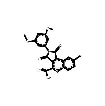 COc1cc(OC)cc(N2C(=O)c3c(C(=O)O)nc4ccc(C)cc4c3C2=O)c1